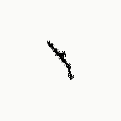 C=CC(=O)OCCCCCCOc1ccc(C#Cc2ccc(C(=O)Oc3ccc(OC(=O)c4ccc(C#Cc5ccc(C#N)cc5)cc4)cc3C(=O)OC)cc2)cc1